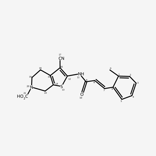 Cc1ccccc1C=CC(=O)Nc1sc2c(c1C#N)CCN(C(=O)O)C2